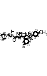 Cc1ccc(S(=O)(=O)n2cc(-c3cc(C(=O)NCCN4CCOCC4)n[nH]3)c3cc(F)ccc32)cc1